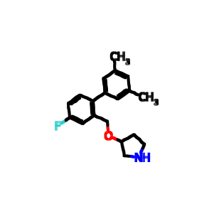 Cc1cc(C)cc(-c2ccc(F)cc2COC2CCNC2)c1